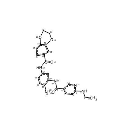 CCNc1ccc(C(=O)Nc2cc(NC(=O)c3ccc4c(c3)OCCO4)ccc2C)cn1